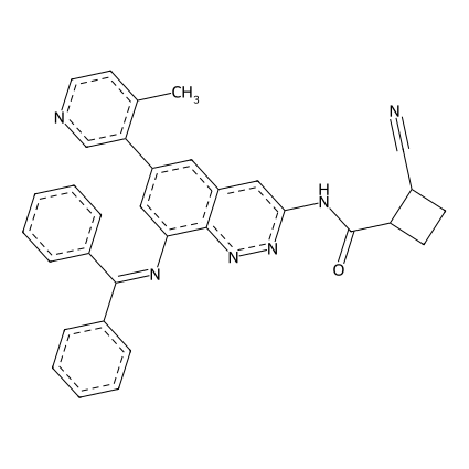 Cc1ccncc1-c1cc(N=C(c2ccccc2)c2ccccc2)c2nnc(NC(=O)C3CCC3C#N)cc2c1